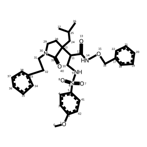 COc1ccc(S(=O)(=O)NCC(C(=O)NOCc2ccccc2)C2(CC(C)C)CCN(CCc3ccccc3)C2=O)cc1